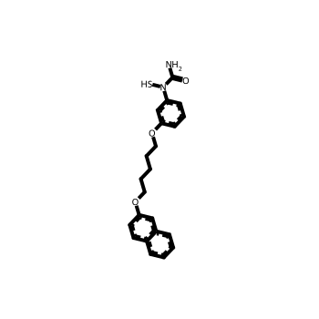 NC(=O)N(S)c1cccc(OCCCCCOc2ccc3ccccc3c2)c1